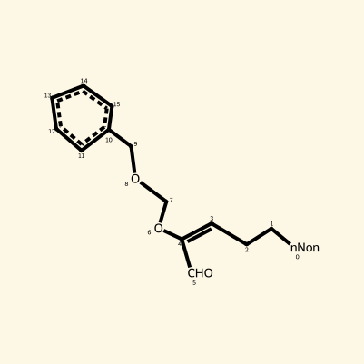 CCCCCCCCCCCC=C(C=O)OCOCc1ccccc1